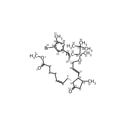 COC(=O)CCC/C=C\C[C@H]1C(=O)CC(C)[C@@H]1/C=C/[C@H](CCc1cc(Br)c(C)s1)O[Si](C)(C)C(C)(C)C